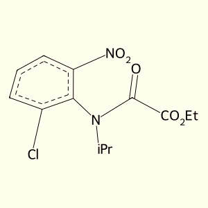 CCOC(=O)C(=O)N(c1c(Cl)cccc1[N+](=O)[O-])C(C)C